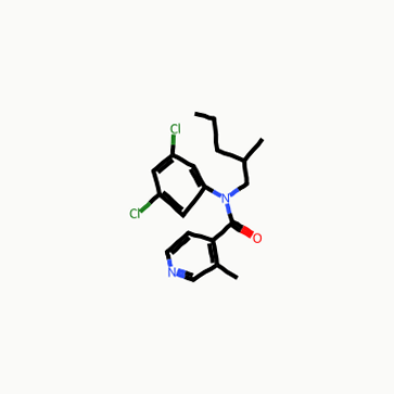 CCCC(C)CN(C(=O)c1ccncc1C)c1cc(Cl)cc(Cl)c1